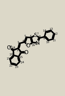 O=C1C(=Cc2cc3sc(-c4ccccc4)nc3o2)C(=O)c2ccccc21